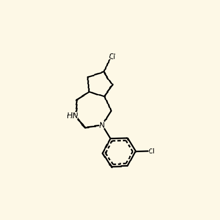 Clc1cccc(N2CNCC3CC(Cl)CC3C2)c1